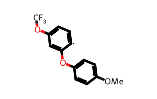 COc1ccc(Oc2[c]ccc(OC(F)(F)F)c2)cc1